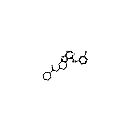 O=C(CC1CCc2c(sc3ncnc(Nc4cccc(Br)c4)c23)C1)N1CCCCC1